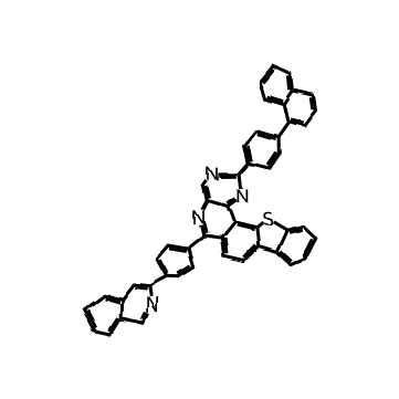 c1ccc2cc(-c3ccc(-c4nc5cnc(-c6ccc(-c7cccc8ccccc78)cc6)nc5c5c4ccc4c6ccccc6sc45)cc3)ncc2c1